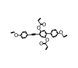 C=COc1ccc(C#Cc2cc(OC(=O)C=C)c(-c3ccc(OC=C)cc3)cc2OC(=O)C=C)cc1